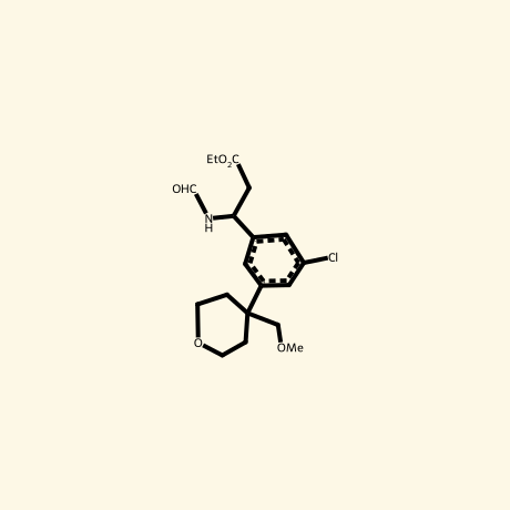 CCOC(=O)CC(NC=O)c1cc(Cl)cc(C2(COC)CCOCC2)c1